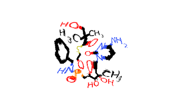 CC(C)(CO)C(=O)SCCOP(=O)(C[C@H]1O[C@@H](n2ccc(N)nc2=O)[C@](C)(O)[C@@H]1O)NCc1ccccc1